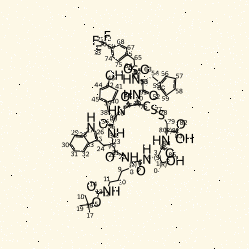 C[C@@H](O)[C@@H]1NC(=O)[C@H](CCCCNC(=O)OC(C)(C)C)NC(=O)[C@@H](Cc2c[nH]c3ccccc23)NC(=O)[C@H](Cc2ccc(O)cc2)NC(=O)[C@@H](NC(=O)[C@@H](Cc2ccccc2)NS(=O)(=O)Cc2ccc(C(F)(F)F)cc2)CSSC[C@@H](C(=O)O)NC1=O